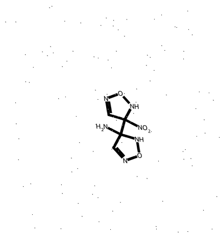 NC1(C2([N+](=O)[O-])C=NON2)C=NON1